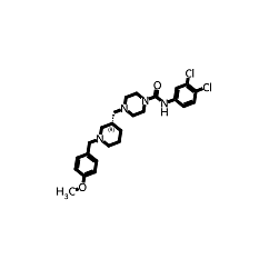 COc1ccc(CN2CCC[C@@H](CN3CCN(C(=O)Nc4ccc(Cl)c(Cl)c4)CC3)C2)cc1